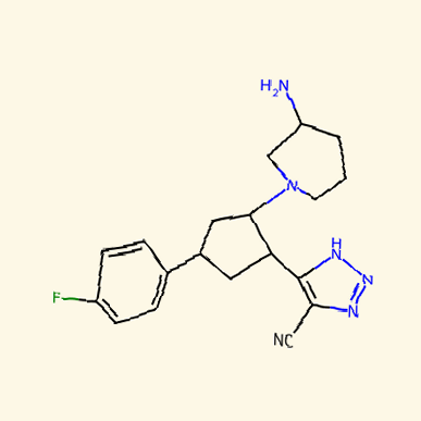 N#Cc1nn[nH]c1C1CC(c2ccc(F)cc2)CC1N1CCCC(N)C1